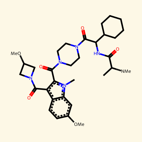 CNC(C)C(=O)NC(C(=O)N1CCN(C(=O)c2c(C(=O)N3CC(OC)C3)c3ccc(OC)cc3n2C)CC1)C1CCCCC1